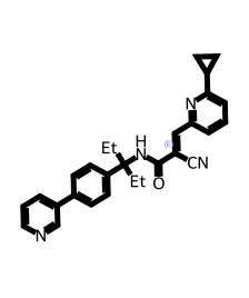 CCC(CC)(NC(=O)/C(C#N)=C/c1cccc(C2CC2)n1)c1ccc(-c2cccnc2)cc1